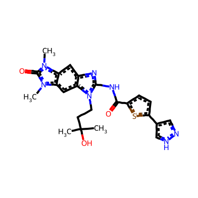 Cn1c(=O)n(C)c2cc3c(cc21)nc(NC(=O)c1ccc(-c2cn[nH]c2)s1)n3CCC(C)(C)O